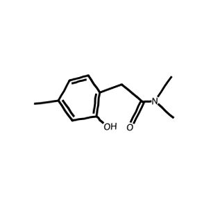 Cc1ccc(CC(=O)N(C)C)c(O)c1